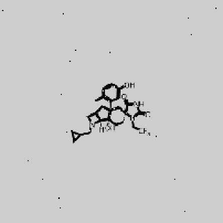 Cc1ccc(O)cc1[C@]12CC3CN(CC4CC4)[C@H]3[C@]1(O)CC[C@]1(C2)C(=O)NC(=O)N1CC(F)(F)F